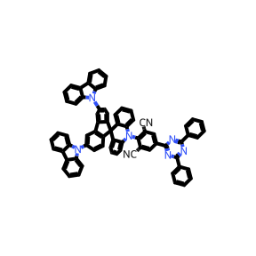 N#Cc1cc(-c2nc(-c3ccccc3)nc(-c3ccccc3)n2)cc(C#N)c1N1c2ccccc2C2(c3ccc(-n4c5ccccc5c5ccccc54)cc3-c3cc(-n4c5ccccc5c5ccccc54)ccc32)c2ccccc21